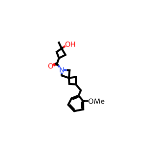 COc1ccccc1CC1CC2(C1)CN(C(=O)C1CC(C)(O)C1)C2